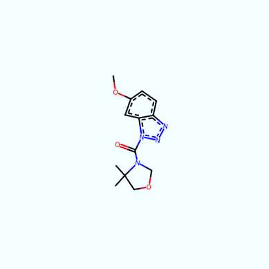 COc1ccc2nnn(C(=O)N3COCC3(C)C)c2c1